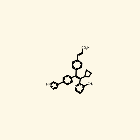 Cc1cccnc1C(=C(c1ccc(C=CC(=O)O)cc1)c1ccc(-c2cn[nH]c2)cc1)C1CCC1